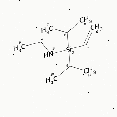 C=C[Si](NCC)(C(C)C)C(C)C